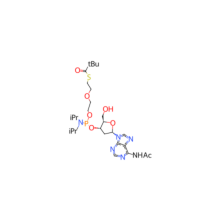 CC(=O)Nc1ncnc2c1ncn2[C@H]1C[C@@H](OP(OCCOCCSC(=O)C(C)(C)C)N(C(C)C)C(C)C)[C@@H](CO)O1